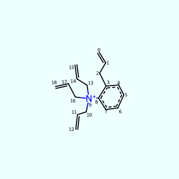 C=CCc1ccccc1[N+](CC=C)(CC=C)CC=C